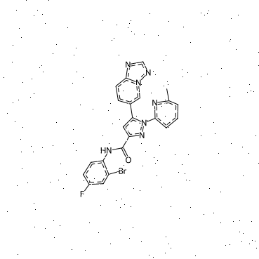 Cc1cccc(-n2nc(C(=O)Nc3ccc(F)cc3Br)cc2-c2ccc3ncnn3c2)n1